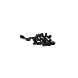 C=C1CC(OC)(C(O)C(=O)NC(OC)C2CC(O)C(C)(C)C(CC(O)COC(C)C)O2)OC(C)C1C